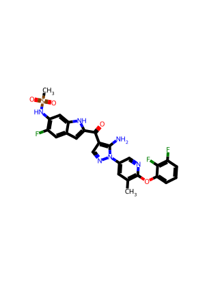 Cc1cc(-n2ncc(C(=O)c3cc4cc(F)c(NS(C)(=O)=O)cc4[nH]3)c2N)cnc1Oc1cccc(F)c1F